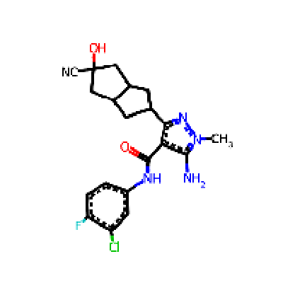 Cn1nc(C2CC3CC(O)(C#N)CC3C2)c(C(=O)Nc2ccc(F)c(Cl)c2)c1N